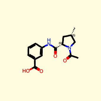 CC(=O)N1C[C@@H](C)C[C@H]1C(=O)Nc1cccc(C(=O)O)c1